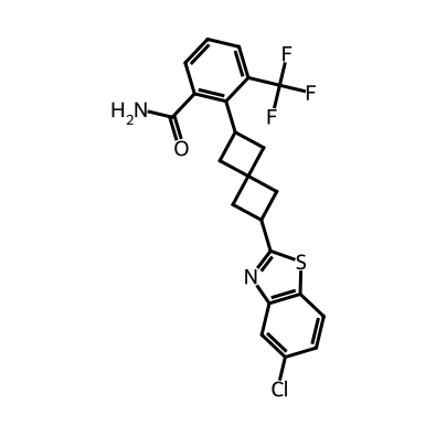 NC(=O)c1cccc(C(F)(F)F)c1C1CC2(CC(c3nc4cc(Cl)ccc4s3)C2)C1